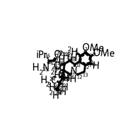 [2H]c1c2c(c([2H])c(OC)c1OC)C1N(CC2)C([2H])([2H])C([2H])(C([2H])([2H])C([2H])(C)C([2H])([2H])[2H])C([2H])(OC(=O)[C@@H](N)C(C)C)C1([2H])[2H]